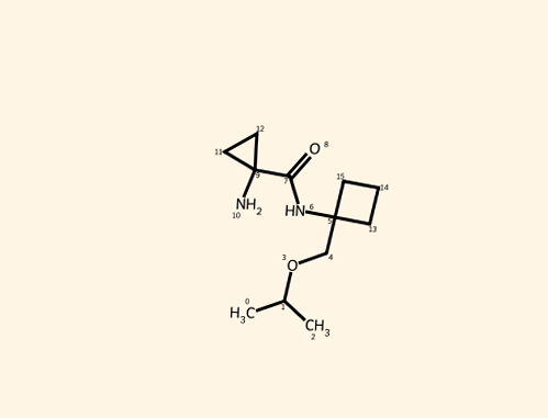 CC(C)OCC1(NC(=O)C2(N)CC2)CCC1